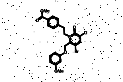 COC(=O)c1ccc(CCn2c(COc3cccc(OC)c3)c(Br)cc(Cl)c2=O)cc1